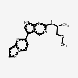 COC[C@H](C)Nc1ncc2c(-c3ccn4nccc4n3)c[nH]c2n1